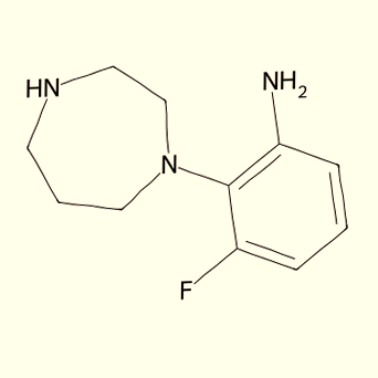 Nc1cccc(F)c1N1CCCNCC1